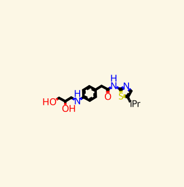 CC(C)c1cnc(NC(=O)Cc2ccc(NCC(O)CO)cc2)s1